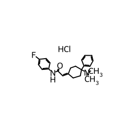 CN(C)C1(c2ccccc2)CCC(=CC(=O)Nc2ccc(F)cc2)CC1.Cl